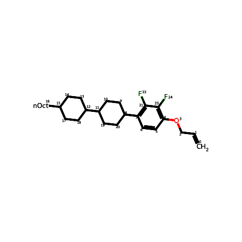 C=CCOc1ccc(C2CCC(C3CCC(CCCCCCCC)CC3)CC2)c(F)c1F